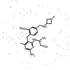 CCC[C@@H](CO)Nc1nc(N)nc(C)c1Cc1ccc(CNC2CN(C)C2)cc1OC